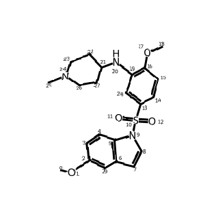 COc1ccc2c(ccn2S(=O)(=O)c2ccc(OC)c(NC3CCN(C)CC3)c2)c1